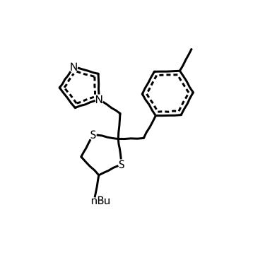 CCCCC1CSC(Cc2ccc(C)cc2)(Cn2ccnc2)S1